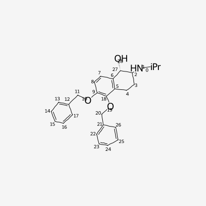 CC(C)NC1CCc2c(ccc(OCc3ccccc3)c2OCc2ccccc2)[C@@H]1O